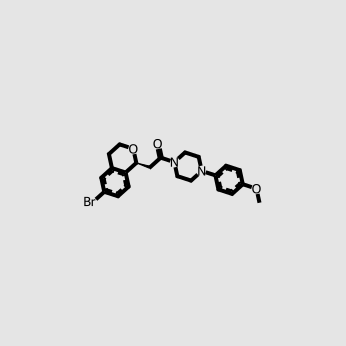 COc1ccc(N2CCN(C(=O)C[C@@H]3OCCc4cc(Br)ccc43)CC2)cc1